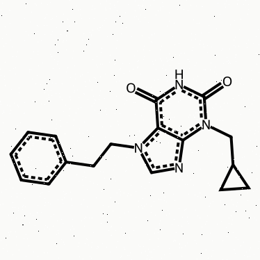 O=c1[nH]c(=O)n(CC2CC2)c2ncn(CCc3ccccc3)c12